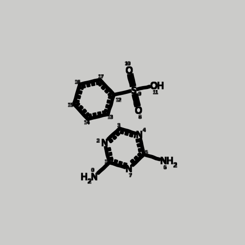 Nc1ncnc(N)n1.O=S(=O)(O)c1ccccc1